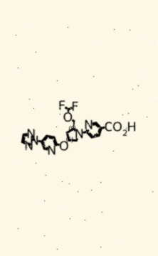 O=C(O)c1ccc(N2C[C@@H](Oc3ccc(-n4nccn4)cn3)C[C@H]2COC(F)F)nc1